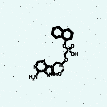 COC[C@H](Cn1cnc2c(N)ncnc21)OCP(=O)(O)Oc1cccc2ccccc12